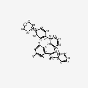 Cc1cccc(-c2nc3ccccn3c2-c2ccnc(-c3ccc(N4CCOCC4)cc3)c2)n1